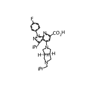 CC(C)CN1C[C@@H]2CN(c3cc(C(=O)O)nc4c3c(C(C)C)nn4-c3ccc(F)cc3)C[C@@H]2C1